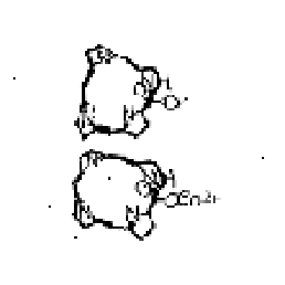 O=C([O-])C12CCC(=N1)C=C1CCC(=N1)C=C1CCC(=N1)C=C1CCC2N1.O=C([O-])C12CCC(=N1)C=C1CCC(=N1)C=C1CCC(=N1)C=C1CCC2N1.[Co+2]